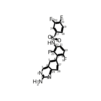 Nc1ncc2cc(-c3c(F)ccc(NS(=O)(=O)c4ccc(F)c(F)c4)c3F)ccc2n1